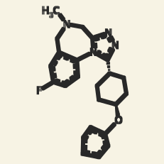 CN1Cc2cc(F)ccc2-n2c(nnc2[C@H]2CC[C@H](Oc3ccccc3)CC2)C1